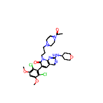 COc1cc(OC)c(Cl)c(-c2cc3cnc(NC4CCOCC4)nc3n(CCCN3CCN(C(C)=O)CC3)c2=O)c1Cl